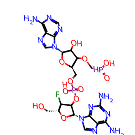 Nc1nc(N)c2ncn([C@@H]3O[C@H](CO)C(F)C3OP(=O)(O)OC[C@H]3O[C@@H](n4cnc5c(N)ncnc54)C(O)C3OC[PH](=O)O)c2n1